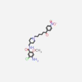 COc1cc(N)c(Cl)cc1C(=O)NCC1CCN(CCCCCC(=O)c2ccc([N+](=O)[O-])cc2)CC1